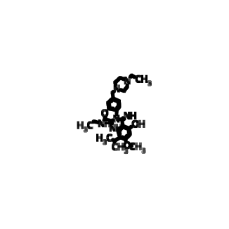 CCNC(=O)C(=N)N(C(=N)c1cc(C(C)C)c(OC)cc1O)c1ccc(CN2CCN(CC)CC2)cc1